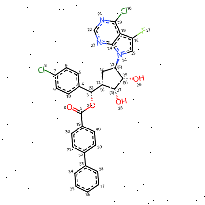 O=C(O[C@H](c1ccc(Cl)cc1)[C@H]1C[C@@H](n2cc(F)c3c(Cl)ncnc32)[C@H](O)[C@@H]1O)c1ccc(-c2ccccc2)cc1